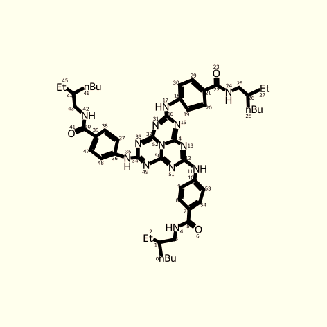 CCCCC(CC)CNC(=O)c1ccc(NC2=NC3=NC(Nc4ccc(C(=O)NCC(CC)CCCC)cc4)=NC4=NC(Nc5ccc(C(=O)NCC(CC)CCCC)cc5)=NC(=N2)N34)cc1